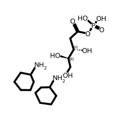 NC1CCCCC1.NC1CCCCC1.O=C(C[C@H](O)[C@H](O)CO)OP(=O)(O)O